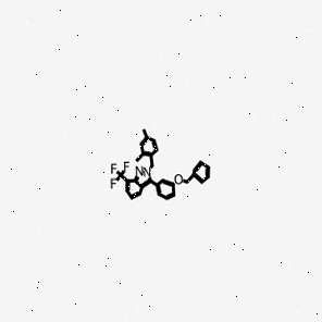 Cc1ccc(Cn2nc3c(C(F)(F)F)cccc3c2-c2cccc(OCc3ccccc3)c2)c(C)c1